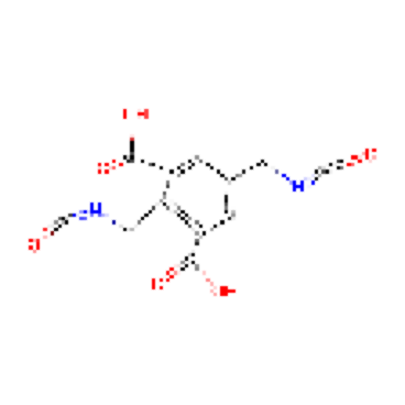 O=C=NCc1cc(C(=O)O)c(CN=C=O)c(C(=O)O)c1